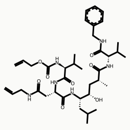 C=CCNC(=O)C[C@H](NC(=O)[C@@H](NC(=O)OCC=C)C(C)C)C(=O)N[C@@H](CC(C)C)[C@@H](O)C[C@@H](C)C(=O)N[C@H](C(=O)NCc1ccccc1)C(C)C